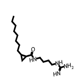 CCCCCCCCC1CC1C(=O)NCCCCNC(=N)N